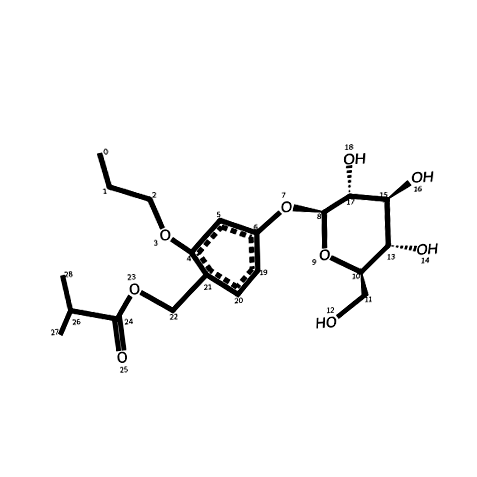 CCCOc1cc(O[C@@H]2O[C@H](CO)[C@@H](O)[C@H](O)[C@H]2O)ccc1COC(=O)C(C)C